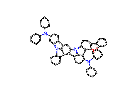 c1ccc(N(c2ccccc2)c2ccc3c4cc5c(c6ccc(N(c7ccccc7)c7ccccc7)c7c8c9oc%10ccccc%10c9ccc8n5c67)c5c6ccccc6n(c3c2)c45)cc1